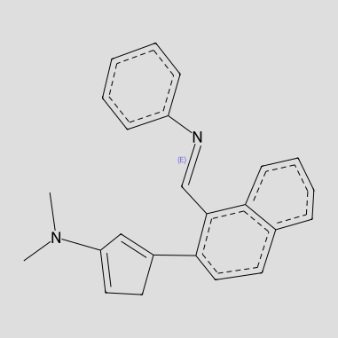 CN(C)C1=CCC(c2ccc3ccccc3c2/C=N/c2ccccc2)=C1